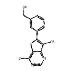 Cc1c(-c2cccc(CO)c2)sc2c(Cl)ncnc12